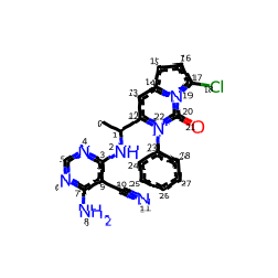 CC(Nc1ncnc(N)c1C#N)c1cc2ccc(Cl)n2c(=O)n1-c1ccccc1